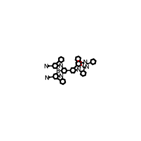 N#Cc1cc2c3c(c1)c1ccccc1n3-c1cc(-c3ccc4c(c3)c3ccccc3n4-c3ccccc3-c3nc(-c4ccccc4)nc(-c4ccccc4)n3)cc3c1B2c1cc(C#N)cc2c4ccccc4n-3c12